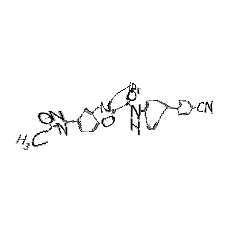 Cc1nc(-c2cccc(CN(CC(C)C)C(=O)C(=O)Nc3ccc(-c4ccc(C#N)cc4)cc3)c2)no1